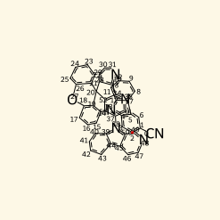 N#Cc1ccc2c(c1)c1ccccc1n2-c1cccc2c1C1(c3ccccc3O2)c2cccnc2-c2ncc(-n3c4ccccc4c4ccncc43)cc21